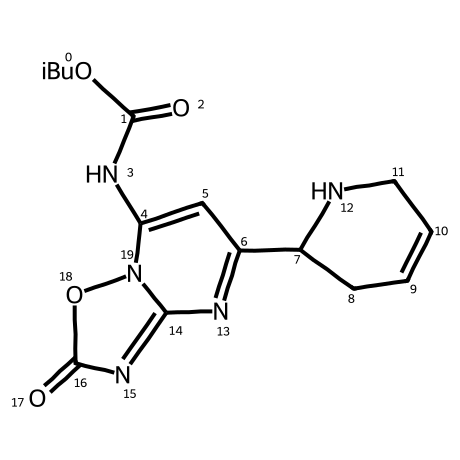 CC(C)COC(=O)Nc1cc(C2CC=CCN2)nc2nc(=O)on12